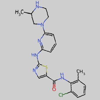 Cc1cccc(Cl)c1NC(=O)c1cnc(Nc2cccc(N3CCNC(C)C3)n2)s1